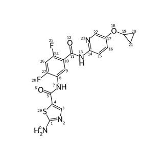 Nc1ncc(C(=O)Nc2cc(C(=O)Nc3ccc(OC4CC4)cn3)c(F)cc2F)s1